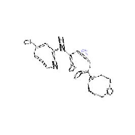 O=C(/C=C\C(=O)N1CCOCC1)Nc1cc(Cl)ccn1